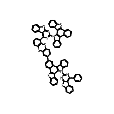 c1ccc(-c2nc(-n3c4ccccc4c4c5cc(-c6ccc7c(c6)Sc6cccc(-c8nc(-n9c%10ccccc%10c%10c%11ccccc%11c%11sc%12ccccc%12c%11c%109)nc9oc%10ccccc%10c89)c6S7)ccc5c5sc6ccccc6c5c43)nc3sc4ccccc4c23)cc1